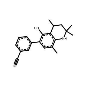 Cc1cc(-c2cccc(C#N)c2)c(O)c2c1NC(C)(C)CC2C